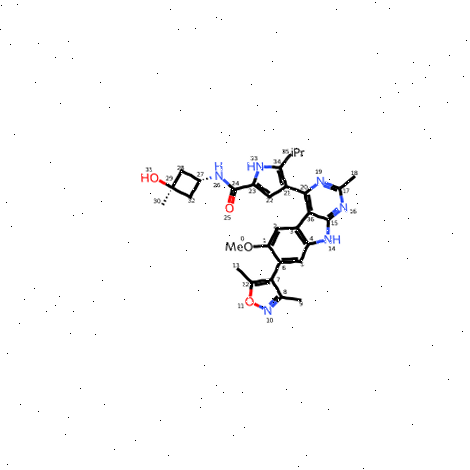 COc1cc2c(cc1-c1c(C)noc1C)[nH]c1nc(C)nc(-c3cc(C(=O)N[C@H]4C[C@](C)(O)C4)[nH]c3C(C)C)c12